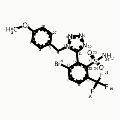 COc1ccc(Cn2nnnc2-c2c(Br)ccc(C(F)(F)F)c2S(N)(=O)=O)cc1